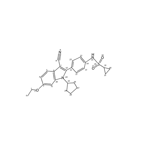 CCOc1ccc2c(C#N)c(-c3ccc(NS(=O)(=O)C4CC4)cc3)n(C3CCCC3)c2c1